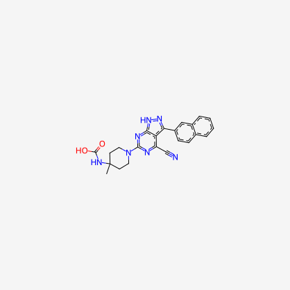 CC1(NC(=O)O)CCN(c2nc(C#N)c3c(-c4ccc5ccccc5c4)n[nH]c3n2)CC1